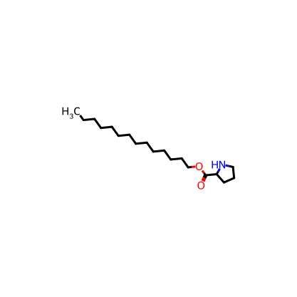 CCCCCCCCCCCCCCOC(=O)C1CCCN1